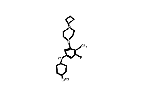 O=CC1CCC(Nc2cc(F)c(C(F)(F)F)c(N3CCN(C4CCC4)CC3)c2)CC1